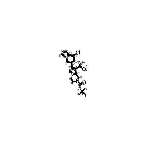 CC(C)(C)OC(=O)N1CCn2nc(-c3cc(Cl)c4cncn4c3)c(C(N)=O)c2C1